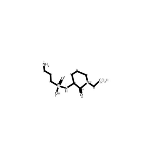 NCCCP(=O)(O)NC1CCCN(CC(=O)O)C1=O